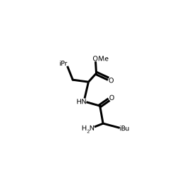 CCC(C)C(N)C(=O)NC(CC(C)C)C(=O)OC